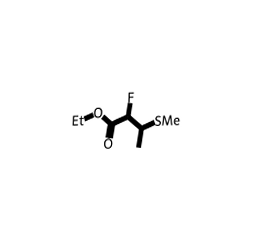 CCOC(=O)C(F)C(C)SC